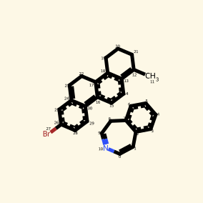 C1=Cc2ccccc2CC=N1.CC1=c2ccc3c(c2CCC1)CC=c1cc(Br)ccc1=3